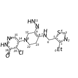 CCc1ncsc1CNC1=C(N=N)CN(c2cn[nH]c(=O)c2Cl)CC1